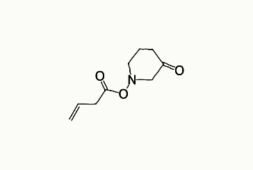 C=CCC(=O)ON1CCCC(=O)C1